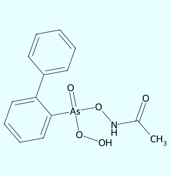 CC(=O)NO[As](=O)(OO)c1ccccc1-c1ccccc1